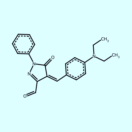 CCN(CC)c1ccc(/C=C2\C(=O)N(c3ccccc3)N=C2C=O)cc1